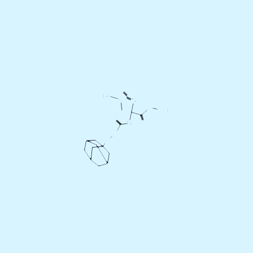 CC(C)(C)OC[C@@](N=C=O)(NC(=O)OCC12CC3CC(CC(C3)C1)C2)C(=O)OC(C)(C)C